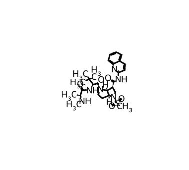 CN[C@@H](C)C(=O)N[C@H](C(=O)N1CC[C@@H]2[C@H]1[C@@H](C(=O)Nc1ccc3ccccc3n1)CN2S(C)(=O)=O)C(C)(C)C